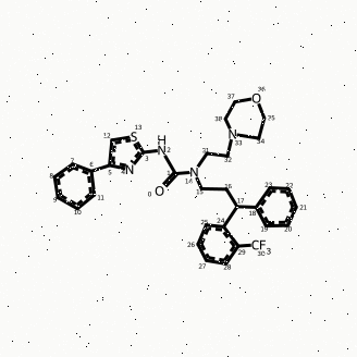 O=C(Nc1nc(-c2ccccc2)cs1)N(CCC(c1ccccc1)c1ccccc1C(F)(F)F)CCN1CCOCC1